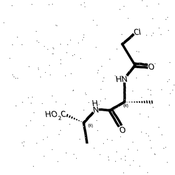 C[C@@H](NC(=O)[C@@H](C)NC(=O)CCl)C(=O)O